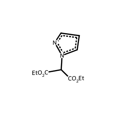 CCOC(=O)C(C(=O)OCC)n1cccn1